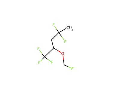 CC(F)(F)CC(OCF)C(F)(F)F